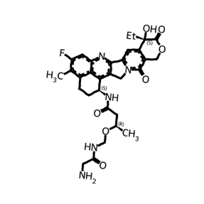 CC[C@@]1(O)C(=O)OCc2c1cc1n(c2=O)Cc2c-1nc1cc(F)c(C)c3c1c2[C@@H](NC(=O)C[C@@H](C)OCNC(=O)CN)CC3